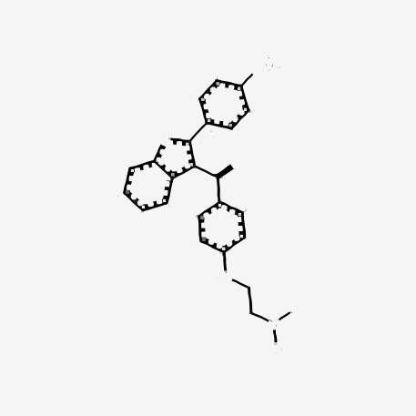 CCN(CC)CCOc1ccc(C(=O)c2c(-c3ccc(OC)cc3)oc3ccccc23)cc1